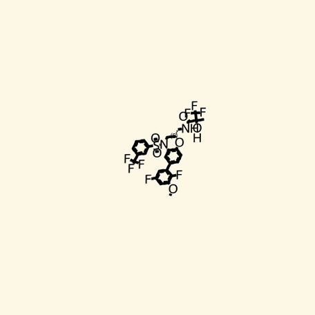 COc1cc(F)cc(-c2ccc3c(c2)N(S(=O)(=O)c2cccc(C(F)(F)F)c2)C[C@H](CNC(=O)C(C)(O)C(F)(F)F)O3)c1F